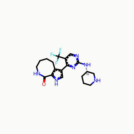 O=C1NCCCCc2c(-c3nc(N[C@H]4CCCNC4)ncc3C(F)(F)F)c[nH]c21